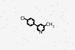 Cc1cncc(-c2ccc(Cl)cc2)c1